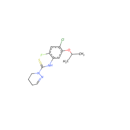 CC(C)Oc1cc(NC(=S)N2CCCC=N2)c(F)cc1Cl